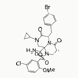 COc1ccc(Cl)cc1S(=O)(=O)N1C[C]C(=O)N2C(Cc3ccc(Br)cc3)C(=O)N(C3CC3)CC21C(N)=O